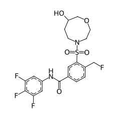 O=C(Nc1cc(F)c(F)c(F)c1)c1ccc(CF)c(S(=O)(=O)N2CCOCC(O)CC2)c1